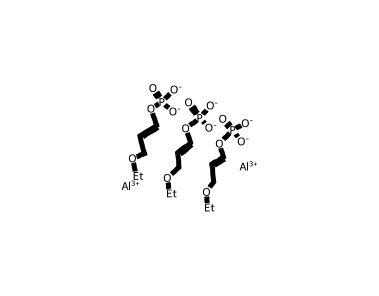 CCOCC=COP(=O)([O-])[O-].CCOCC=COP(=O)([O-])[O-].CCOCC=COP(=O)([O-])[O-].[Al+3].[Al+3]